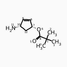 CC(C)(C)C(=O)O[C@H]1C=C[C@@H](N)C1